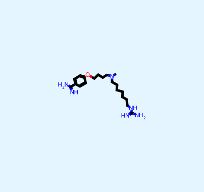 CN(CCCCCCCNC(=N)N)CCCCOc1ccc(C(=N)N)cc1